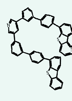 c1cc(-c2ccc(-c3cccc4c3sc3ccccc34)cc2)cc(-c2cncc(-c3cccc(-c4ccc(-c5cccc6c5sc5ccccc56)cc4)c3)c2)c1